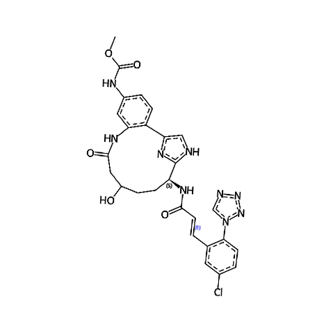 COC(=O)Nc1ccc2c(c1)NC(=O)CC(O)CC[C@H](NC(=O)/C=C/c1cc(Cl)ccc1-n1cnnn1)c1nc-2c[nH]1